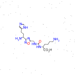 NCCCC[C@H](NC(=O)NCc1nc([C@@H](N)CCc2cnc[nH]2)no1)C(=O)O